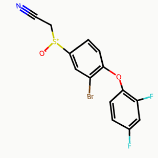 N#CC[S+]([O-])c1ccc(Oc2ccc(F)cc2F)c(Br)c1